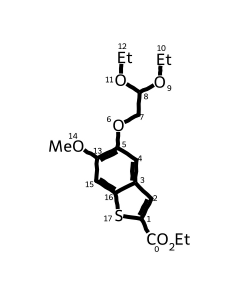 CCOC(=O)c1cc2cc(OCC(OCC)OCC)c(OC)cc2s1